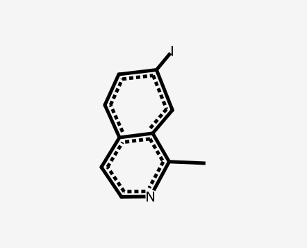 Cc1nccc2ccc(I)cc12